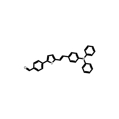 O=Cc1ccc(-c2ccc(/C=C/c3ccc(N(c4ccccc4)c4ccccc4)cc3)s2)cc1